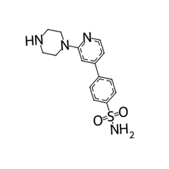 NS(=O)(=O)c1ccc(-c2ccnc(N3CCNCC3)c2)cc1